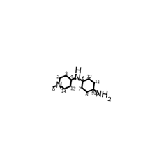 CN1CCC(NC2CCC(N)CC2)CC1